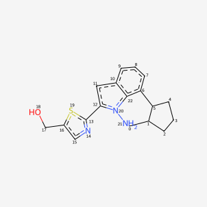 CC1CCCC1c1cccc2cc(-c3ncc(CO)s3)n(N)c12